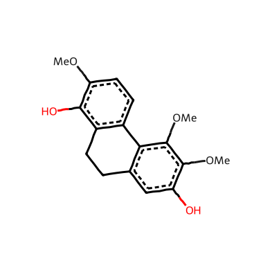 COc1ccc2c(c1O)CCc1cc(O)c(OC)c(OC)c1-2